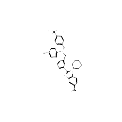 CC(C)(C)c1ccc(CN(Cc2cccc(-c3nc4cc(C(=O)O)ccc4n3C3CCCCC3)c2)c2ccc(Cl)cc2)cc1